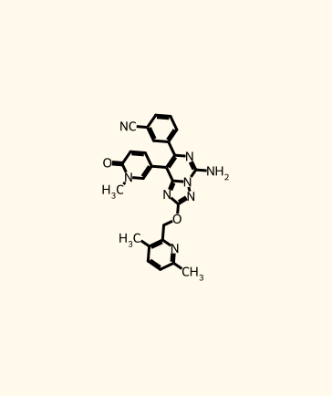 Cc1ccc(C)c(COc2nc3c(-c4ccc(=O)n(C)c4)c(-c4cccc(C#N)c4)nc(N)n3n2)n1